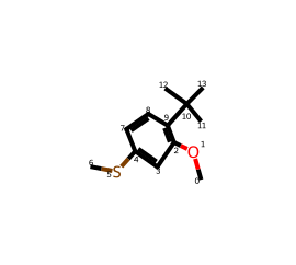 COc1cc(SC)ccc1C(C)(C)C